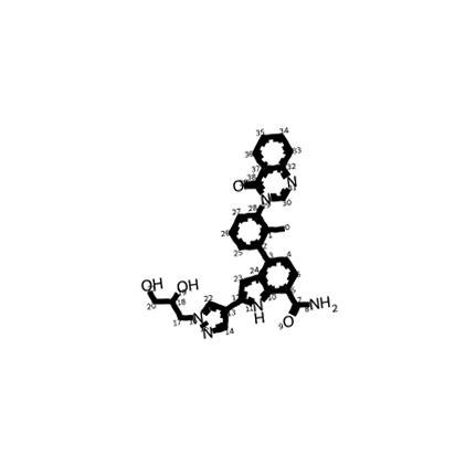 Cc1c(-c2ccc(C(N)=O)c3[nH]c(-c4cnn(CC(O)CO)c4)cc23)cccc1-n1cnc2ccccc2c1=O